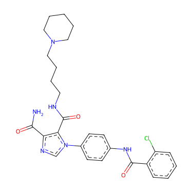 NC(=O)c1ncn(-c2ccc(NC(=O)c3ccccc3Cl)cc2)c1C(=O)NCCCCN1CCCCC1